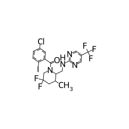 CC1CC(F)(F)CN(C(=O)c2cc(Cl)ccc2I)C1CNc1ncc(C(F)(F)F)cn1